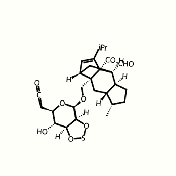 CC(C)C1=C[C@@H]2C[C@@]3(C=O)[C@H]4CC[C@H](C)[C@@H]4C[C@]2(CO[C@@H]2O[C@H](C=C=O)[C@@H](O)[C@@H]4OSO[C@H]24)[C@@]13C(=O)O